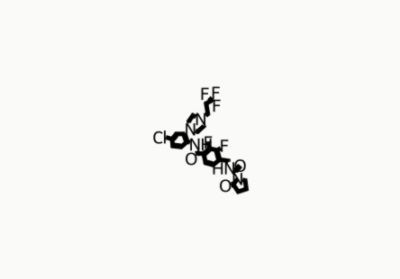 O=C(Nc1ccc(Cl)cc1N1CCN(CCC(F)(F)F)CC1)c1ccc(CNC(=O)N2CCCC2=O)c(F)c1F